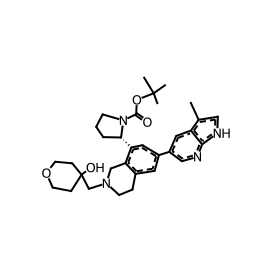 Cc1c[nH]c2ncc(-c3cc4c(c([C@@H]5CCCN5C(=O)OC(C)(C)C)c3)CN(CC3(O)CCOCC3)CC4)cc12